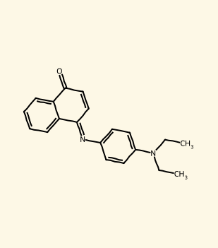 CCN(CC)c1ccc(N=C2C=CC(=O)c3ccccc32)cc1